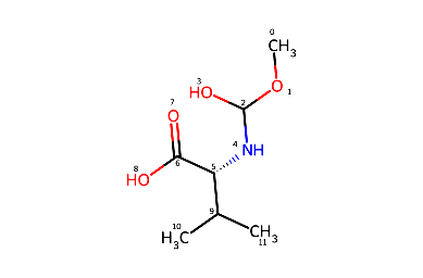 COC(O)N[C@@H](C(=O)O)C(C)C